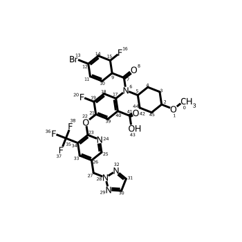 COC1CCC(N(C(=O)C2C=CC(Br)=CC2F)c2cc(F)c(Oc3ncc(Cn4nccn4)cc3C(F)(F)F)cc2C(=O)O)CC1